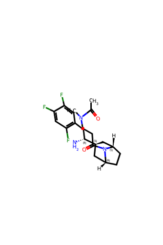 CC(=O)N(C)CCC(=O)N1[C@@H]2CC[C@H]1C[C@H]([C@H](N)Cc1cc(F)c(F)cc1F)C2